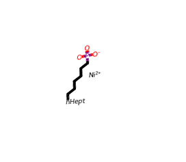 CCCCCCCCCCCCCP(=O)([O-])[O-].[Ni+2]